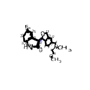 COCCN(C)Cc1ccc2c(c1)CO/C2=C1/C(=O)Nc2ccc(F)cc21